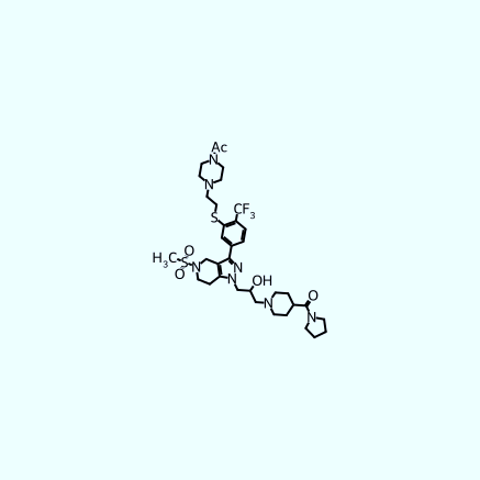 CC(=O)N1CCN(CCSc2cc(-c3nn(CC(O)CN4CCC(C(=O)N5CCCC5)CC4)c4c3CN(S(C)(=O)=O)CC4)ccc2C(F)(F)F)CC1